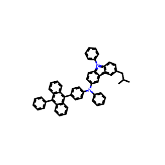 CC(C)Cc1ccc2c(c1)c1cc(N(c3ccccc3)c3ccc(-c4c5ccccc5c(-c5ccccc5)c5ccccc45)cc3)ccc1n2-c1ccccc1